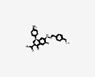 Nc1ccc(-n2cc(C(=O)O)c(=O)c3cc(F)c(N/N=C/c4ccc(CO)cc4)cc32)cc1